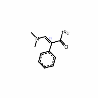 CN(C)/C=C(/C(=O)C(C)(C)C)c1ccccc1